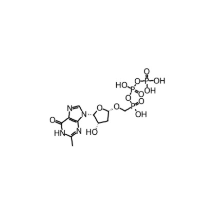 Cc1nc2c(ncn2[C@@H]2O[C@H](OCP(=O)(O)OP(=O)(O)OP(=O)(O)O)C[C@@H]2O)c(=O)[nH]1